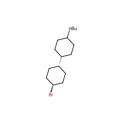 CCCCC1CCC([C@H]2CC[C@H](Br)CC2)CC1